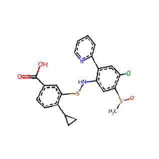 C[S+]([O-])c1cc(NSc2cc(C(=O)O)ccc2C2CC2)c(-c2ccccn2)cc1Cl